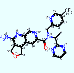 CC(c1ncccn1)N(Cc1ccc(C(F)(F)F)cn1)C(=O)c1cc2c3c(c(N)nc2cn1)COC3